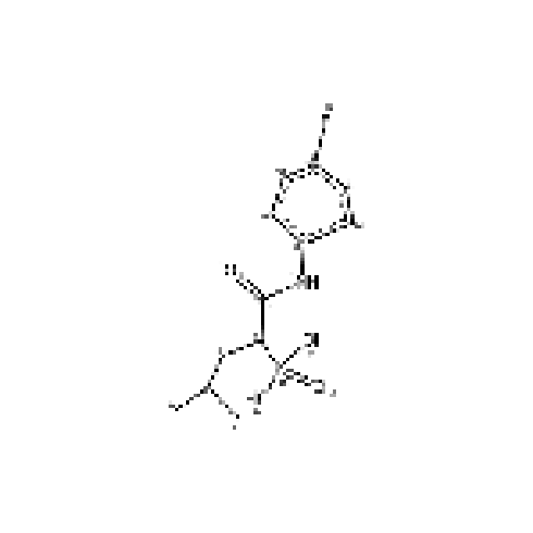 CC(C)CC(C(=O)Nc1ccc(F)cc1)P(=O)(O)O